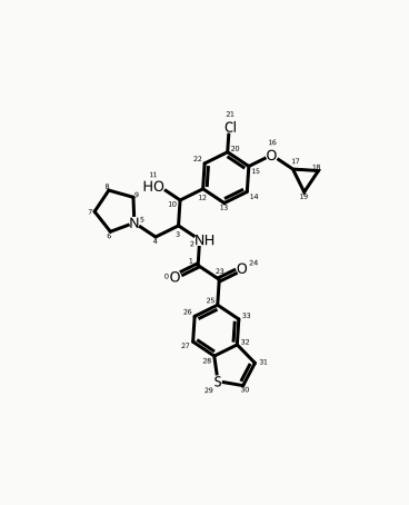 O=C(NC(CN1CCCC1)C(O)c1ccc(OC2CC2)c(Cl)c1)C(=O)c1ccc2sccc2c1